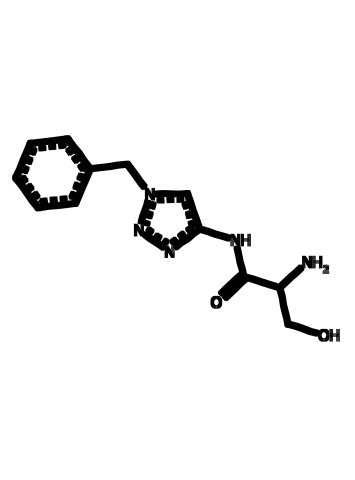 NC(CO)C(=O)Nc1cn(Cc2ccccc2)nn1